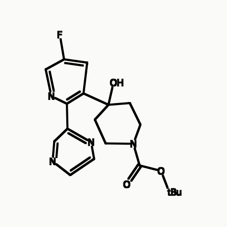 CC(C)(C)OC(=O)N1CCC(O)(c2cc(F)cnc2-c2cnccn2)CC1